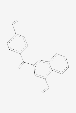 O=Cc1ccc(C(=O)c2cc(C=O)c3ccccc3c2)cc1